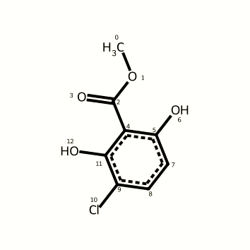 COC(=O)c1c(O)ccc(Cl)c1O